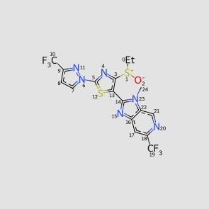 CC[S+]([O-])c1nc(-n2ccc(C(F)(F)F)n2)sc1-c1nc2cc(C(F)(F)F)ncc2n1C